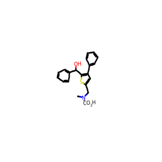 CN(Cc1cc(-c2ccccc2)c(C(O)c2ccccc2)s1)C(=O)O